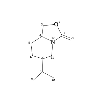 C=C1OCC2CCC(C(C)C)CN12